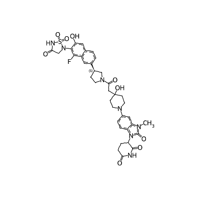 Cn1c(=O)n(C2CCC(=O)NC2=O)c2ccc(N3CCC(O)(CC(=O)N4CC[C@@H](c5ccc6cc(O)c(N7CC(=O)NS7(=O)=O)c(F)c6c5)C4)CC3)cc21